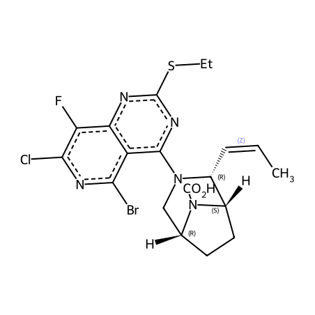 C/C=C\[C@@H]1[C@@H]2CC[C@H](CN1c1nc(SCC)nc3c(F)c(Cl)nc(Br)c13)N2C(=O)O